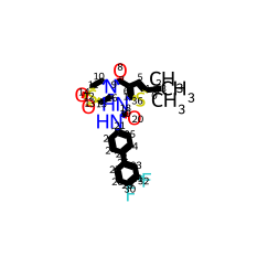 CC(C)(C)c1cc(C(=O)N2CCS(=O)(=O)CC2)c(NC(=O)Nc2ccc(-c3ccc(F)c(F)c3)cc2)s1